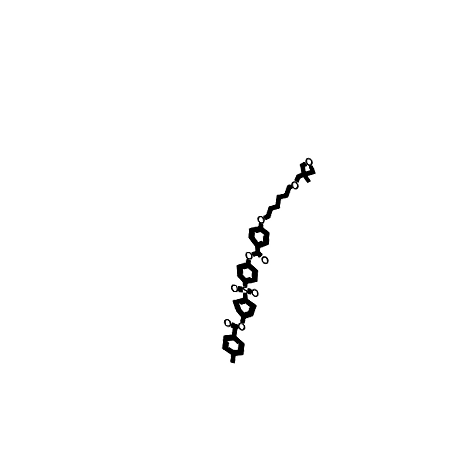 Cc1ccc(C(=O)Oc2ccc(S(=O)(=O)c3ccc(OC(=O)c4ccc(OCCCCCCOCC5(C)COC5)cc4)cc3)cc2)cc1